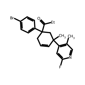 CCC(=O)C1(c2ccc(Br)cc2)CC=CC(C)(c2cc(F)ncc2C)C1